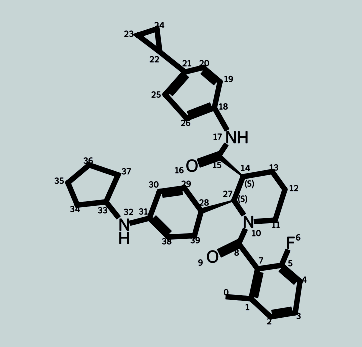 Cc1cccc(F)c1C(=O)N1CCC[C@H](C(=O)Nc2ccc(C3CC3)cc2)[C@@H]1C1C=CC(NC2CCCC2)=CC1